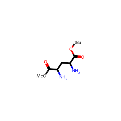 COC(=O)C(N)CC(N)C(=O)OC(C)(C)C